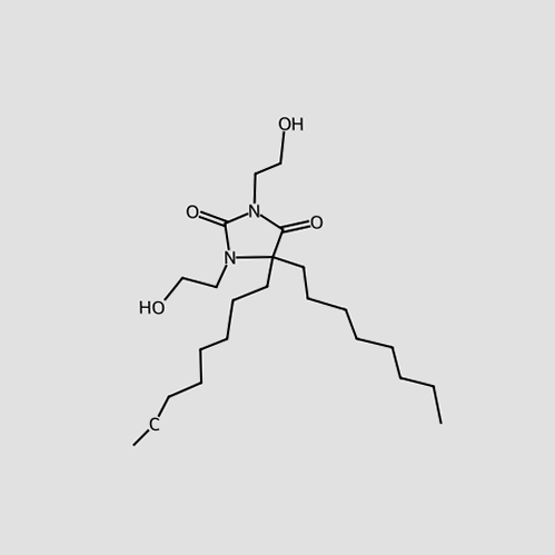 CCCCCCCCC1(CCCCCCCC)C(=O)N(CCO)C(=O)N1CCO